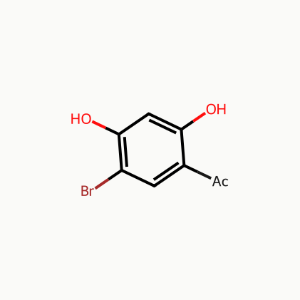 CC(=O)c1cc(Br)c(O)cc1O